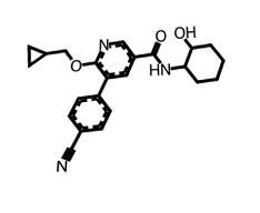 N#Cc1ccc(-c2cc(C(=O)NC3CCCCC3O)cnc2OCC2CC2)cc1